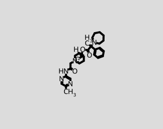 Cc1cnc(NC(=O)C[N+]23CCC(CC2)[C@@H](OC(=O)C(C)(c2ccccc2)N2CCCCCC2)C3)cn1